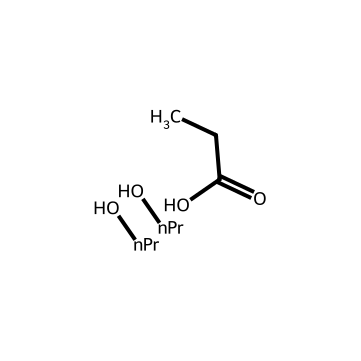 CCC(=O)O.CCCO.CCCO